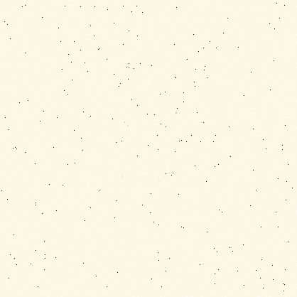 CC(=O)OCC[N+](C)(C)C.OCC(O)CO.[Cl-]